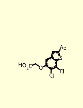 CC(=O)c1cc2cc(OCC(=O)O)c(Cl)c(Cl)c2s1